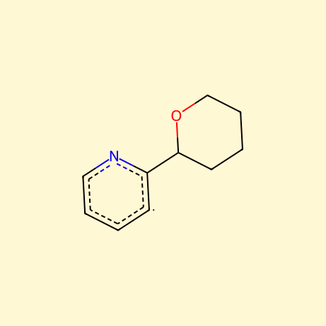 [c]1cccnc1C1CCCCO1